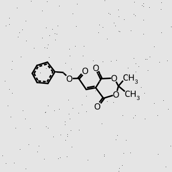 CC1(C)OC(=O)C(=CC(=O)OCc2ccccc2)C(=O)O1